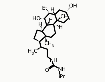 CC[C@H]1[C@@H](O)[C@@H]2[C@H](CC[C@]3(C)[C@@H]([C@H](C)CCNC(=O)NC(C)C)CC[C@@H]23)[C@@]2(C)CC[C@@H](O)C[C@@H]12